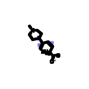 C=C(/C=C\C(=C/N)N1CCN(C)CC1)[N+](=O)[O-]